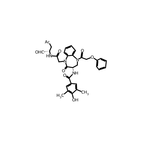 CC(=O)C[C@@H](C=O)NC(=O)CN1C(=O)[C@@H](NC(=O)c2cc(C)c(O)c(C)c2)CN(C(=O)COc2ccccc2)c2ccccc21